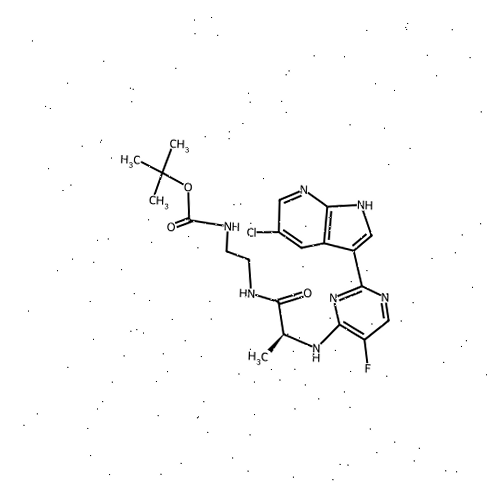 C[C@H](Nc1nc(-c2c[nH]c3ncc(Cl)cc23)ncc1F)C(=O)NCCNC(=O)OC(C)(C)C